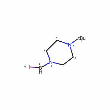 CC(C)(C)N1CCN(BI)CC1